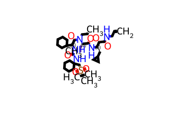 C=CCNC(=O)C(=O)[C@H](CC1CC1)NC(=O)[C@H](I)N(CCC)C(=O)[C@@H](NC(=O)NC1(CS(=O)(=O)C(C)(C)C)CCCCC1)C1(C)CCCCC1